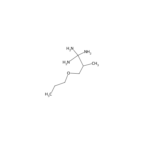 CCCOCC(C)C(N)(N)N